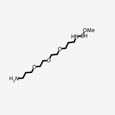 COBNCCCOCCOCCOCCCN